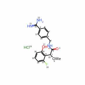 CO[C@H](C(=O)NCc1ccc(C(=N)N)cc1)c1c(O)cccc1F.Cl